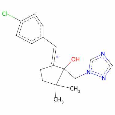 CC1(C)CC/C(=C\c2ccc(Cl)cc2)C1(O)Cn1cncn1